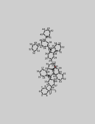 CC1(C)c2ccccc2-c2cc(N(c3ccccc3-c3cccc(-c4ccc5c(c4)c4ccccc4n5-c4cc(-c5ccccc5)cc(-c5ccccc5)c4)c3)c3cccc4ccccc34)ccc21